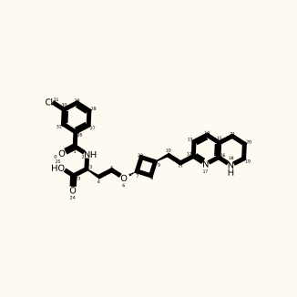 O=C(N[C@@H](CCO[C@H]1C[C@H](CCc2ccc3c(n2)NCCC3)C1)C(=O)O)c1cccc(Cl)c1